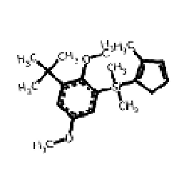 COc1cc(C(C)(C)C)c(OC)c([Si](C)(C)C2=C(C)C=CC2)c1